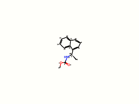 COC(=O)N[C@H](C)c1cccc2ccccc12